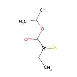 C[CH2][Sn](=[S])[C](=O)OC(C)C